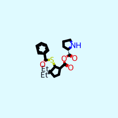 CCC1(CC)CCC(C(=O)OC(=O)[C@@H]2CCCN2)C1SC(=O)c1ccccc1